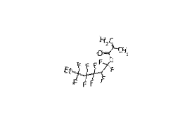 C=C(C)C(=O)OC(F)(F)C(F)C(F)(F)C(F)(F)C(F)(F)CC